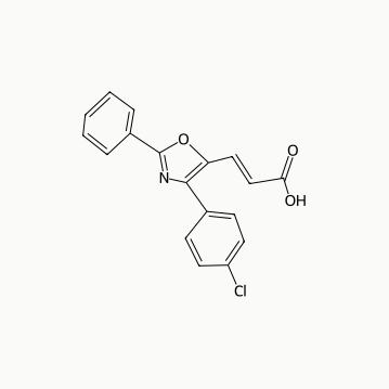 O=C(O)/C=C/c1oc(-c2ccccc2)nc1-c1ccc(Cl)cc1